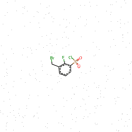 O=S(=O)(Cl)c1cccc(CBr)c1F